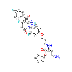 NCC[C@H](NCCCOc1cc(F)c(-n2c(N)c(C(=O)c3ccc(F)cc3F)ccc2=O)c(F)c1)C(=O)OC1CCCC1